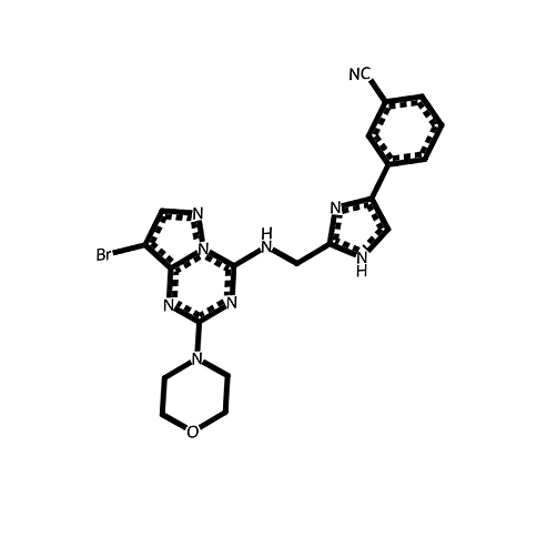 N#Cc1cccc(-c2c[nH]c(CNc3nc(N4CCOCC4)nc4c(Br)cnn34)n2)c1